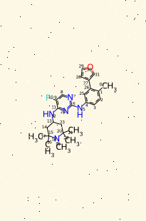 Cc1ccc(Nc2ncc(F)c(NC3CC(C)(C)N(C)C(C)(C)C3)n2)cc1-c1ccoc1